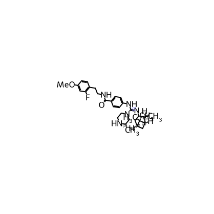 COc1ccc(CCNC(=O)c2ccc(N/C(=N/C3C[C@H]4C[C@@H]([C@@H]3C)C4(C)C)N3CCN[C@@H](C)C3)cc2)c(F)c1